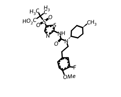 COc1ccc(CCN(C(=O)Nc2ncc(S(=O)(=O)C(C)(C)C(=O)O)s2)[C@H]2CC[C@H](C)CC2)cc1F